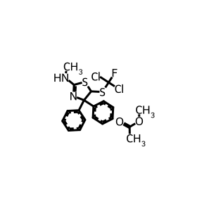 CNC1=NC(c2ccccc2)(c2ccccc2)C(SC(F)(Cl)Cl)S1.COC(C)=O